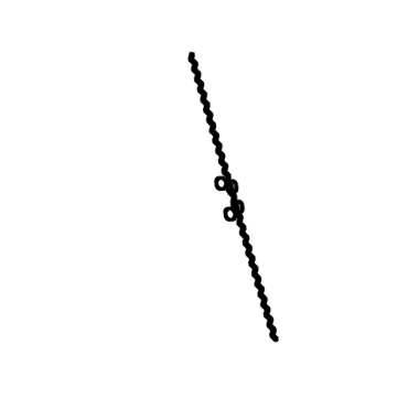 CCCCCCCCCCCCCCCCCCCCCCCCCC(=O)OCCCOC(=O)CCCCCCCCCCCCCCCCCCCCCCCCC